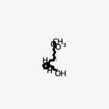 COC(=O)CCC/C=C\CC1C(C=CCO)[C@H]2C=C[C@H]1C2